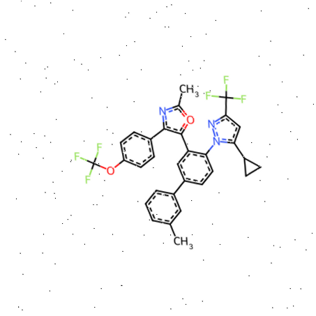 Cc1cccc(-c2ccc(-n3nc(C(F)(F)F)cc3C3CC3)c(-c3oc(C)nc3-c3ccc(OC(F)(F)F)cc3)c2)c1